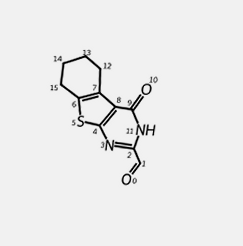 O=Cc1nc2sc3c(c2c(=O)[nH]1)CCCC3